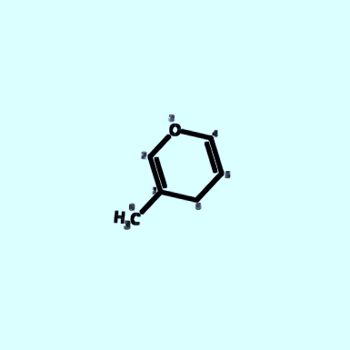 CC1=COC=CC1